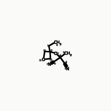 CCC1(OC(C)(C#N)C#N)COC1